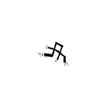 C=CC1(Cl)CCC1(Cl)C=C